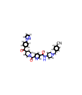 N#Cc1ccc(CN2CCC(NC(=O)c3ccc(C(=O)N4CCC(C(=O)c5ccc(-n6cccn6)cc5)CC4)nc3)CC2)cc1